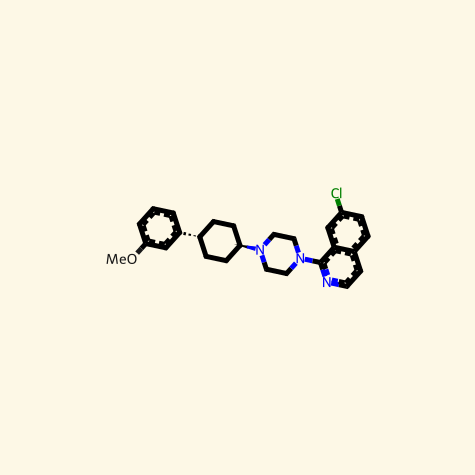 COc1cccc([C@H]2CC[C@H](N3CCN(c4nccc5ccc(Cl)cc45)CC3)CC2)c1